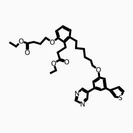 CCOC(=O)CCCOc1cccc(CCCCCCOc2cc(-c3cncnc3)cc(-c3ccsc3)c2)c1CCC(=O)OCC